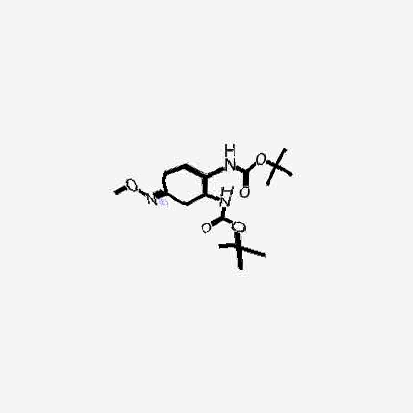 CO/N=C1\CCC(NC(=O)OC(C)(C)C)C(NC(=O)OC(C)(C)C)C1